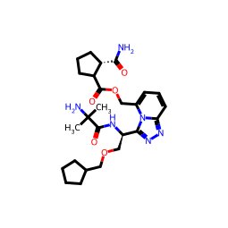 CC(C)(N)C(=O)N[C@H](COCC1CCCC1)c1nnc2cccc(COC(=O)C3CCC[C@@H]3C(N)=O)n12